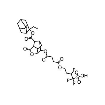 CCC1(OC(=O)C2C3CC4C(OC(=O)C42)C3OC(=O)CCC(=O)OCCC(F)C(F)(F)S(=O)(=O)O)C2CC3CC(C2)CC1C3